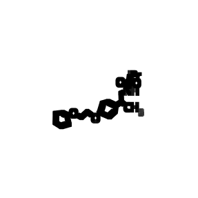 CC(CNS(=O)(=O)C(C)C)c1ccc(OCCOc2ccccc2)cc1